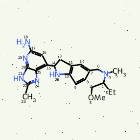 CCC(COC)N(C)Cc1ccc2c(c1)CC(c1cc(N)nc3[nH]c(C)nc13)N2